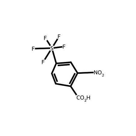 O=C(O)c1ccc(S(F)(F)(F)(F)F)cc1[N+](=O)[O-]